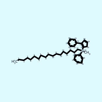 CCCCCCCCCCCCCCCCCC[Si](C)(C1=C(c2ccccc2)C=CC1)c1ccccc1